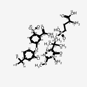 CP(=O)(O)CCC(N)C(=O)O.CSc1nnc(C(C)(C)C)c(=O)n1N.O=C(O)c1cc(Oc2ccc(C(F)(F)F)cc2Cl)ccc1[N+](=O)[O-]